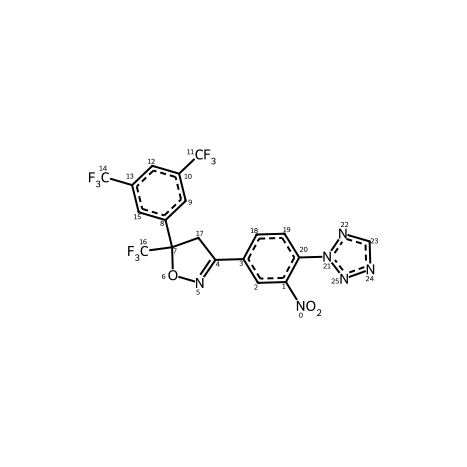 O=[N+]([O-])c1cc(C2=NOC(c3cc(C(F)(F)F)cc(C(F)(F)F)c3)(C(F)(F)F)C2)ccc1-n1ncnn1